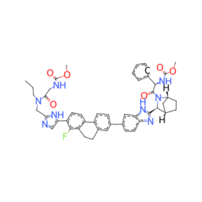 CCCN(Cc1ncc(-c2ccc3c(c2F)CCc2cc(-c4ccc5nc([C@@H]6[C@H]7CC[C@H](C7)N6C(=O)[C@H](NC(=O)OC)c6ccccc6)[nH]c5c4)ccc2-3)[nH]1)C(=O)CNC(=O)OC